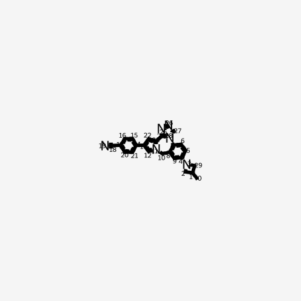 CC1CN(c2ccc3c(c2)Cn2cc(-c4ccc(C#N)cc4)cc2-c2nncn2-3)C1